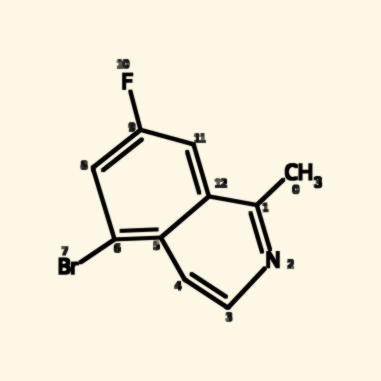 Cc1nccc2c(Br)cc(F)cc12